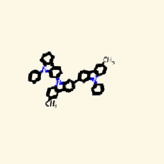 Cc1ccc2c(c1)c1ccc(-c3ccc4c5cc(C)ccc5n(-c5ccc6c7ccccc7n(-c7ccccc7)c6c5)c4c3)cc1n2-c1ccccc1